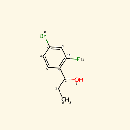 CCC(O)c1ccc(Br)cc1F